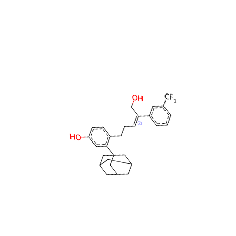 OC/C(=C\CCc1ccc(O)cc1C12CC3CC(CC(C3)C1)C2)c1cccc(C(F)(F)F)c1